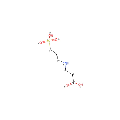 O=C(O)CCNCCCS(=O)(=O)O